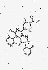 C=CC(=O)N1C[C@H](C)N(c2nc(=O)n(-c3c(C)ccnc3C(C)C)c3nc(-c4ccccc4F)c(C)nc23)C[C@H]1C